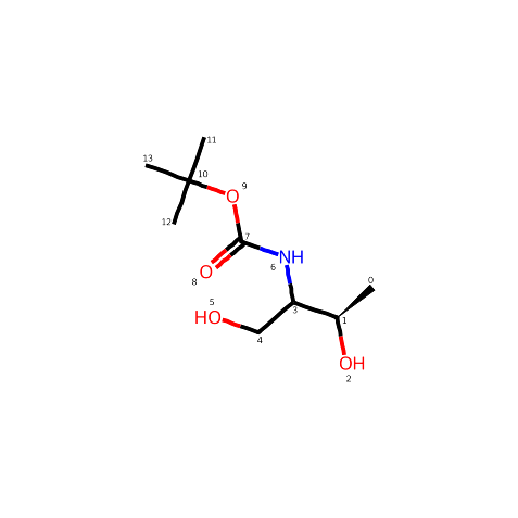 C[C@@H](O)C(CO)NC(=O)OC(C)(C)C